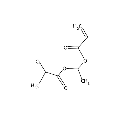 C=CC(=O)OC(C)OC(=O)C(C)Cl